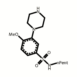 CCCCCNS(=O)(=O)c1ccc(OC)c(N2CCNCC2)c1